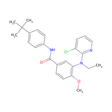 CCN(c1cc(C(=O)Nc2ccc(C(C)(C)C)cc2)ccc1OC)c1ncccc1Cl